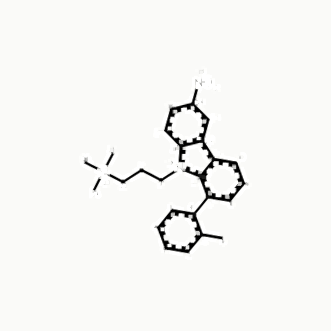 Cc1ccccc1-c1c[c]cc2c3cc([N+](=O)[O-])ccc3n(CCC[Si](C)(C)C)c12